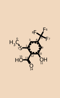 CSc1cc(C(F)(F)F)cc(O)c1C(=O)O